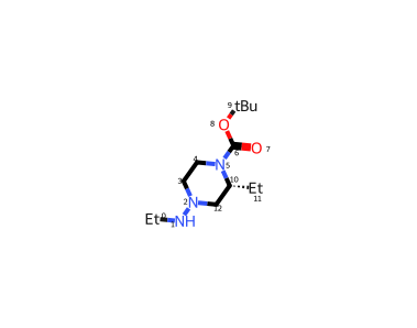 CCNN1CCN(C(=O)OC(C)(C)C)[C@H](CC)C1